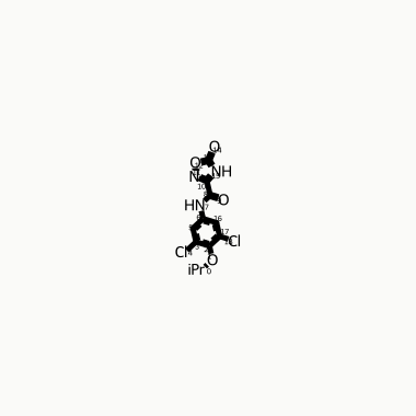 CC(C)Oc1c(Cl)cc(NC(=O)c2noc(=O)[nH]2)cc1Cl